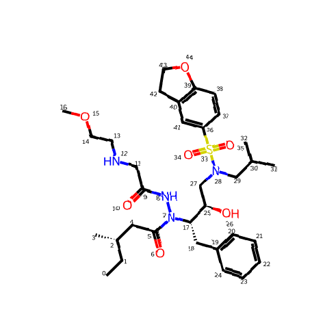 CC[C@H](C)CC(=O)N(NC(=O)CNCCOC)[C@@H](Cc1ccccc1)[C@H](O)CN(CC(C)C)S(=O)(=O)c1ccc2c(c1)CCO2